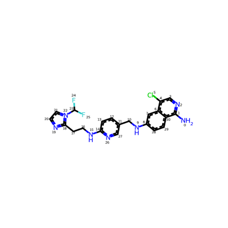 Nc1ncc(Cl)c2cc(NCc3ccc(NCCc4nccn4C(F)F)nc3)ccc12